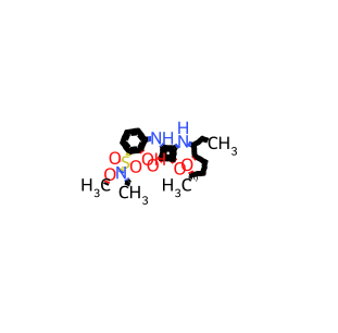 CCC(Nc1c(Nc2cccc(S(=O)(=O)N(CC)OC)c2O)c(=O)c1=O)C1CC[C@@H](C)O1